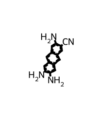 N#Cc1cc2cc3cc(N)c(N)cc3cc2cc1N